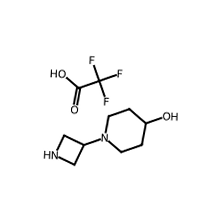 O=C(O)C(F)(F)F.OC1CCN(C2CNC2)CC1